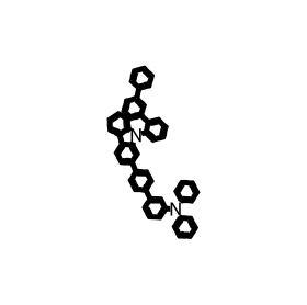 c1ccc(-c2cccc(-c3ccccc3-n3c4ccccc4c4ccc(-c5ccc(-c6cccc(N(c7ccccc7)c7ccccc7)c6)cc5)cc43)c2)cc1